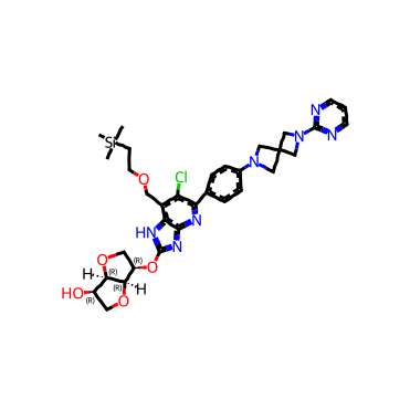 C[Si](C)(C)CCOCc1c(Cl)c(-c2ccc(N3CC4(C3)CN(c3ncccn3)C4)cc2)nc2nc(O[C@@H]3CO[C@H]4[C@@H]3OC[C@H]4O)[nH]c12